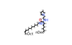 CCCCCCCC/C=C\CCCCCCCCNC(=O)C(CCCCCCCCCCCCCCC)NCCN1CCCC1